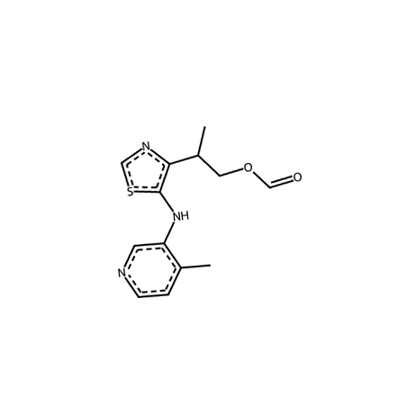 Cc1ccncc1Nc1scnc1C(C)COC=O